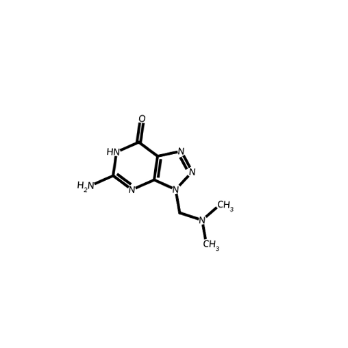 CN(C)Cn1nnc2c(=O)[nH]c(N)nc21